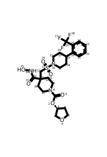 O=C(O[C@H]1CCOC1)N1CCC(CS(=O)(=O)N2CCC(c3ccccc3C(F)(F)F)CC2)(C(=O)NO)CC1